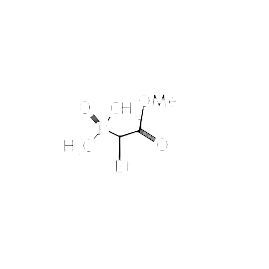 CCC(C(=O)OC)P(C)(C)=O